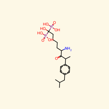 CC(C)Cc1ccc(C(C)C(=O)C(N)CCCCC(O)(P(=O)(O)O)P(=O)(O)O)cc1